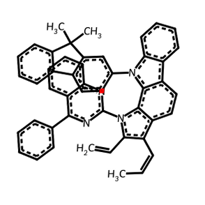 C=Cc1c(/C=C\C)c2ccc3c4ccccc4n(-c4ccc5c(c4)C(C)(C)c4ccccc4-5)c3c2n1-c1nc(-c2ccccc2)c2ccccc2n1